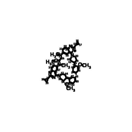 COc1ccccc1C1CCN(c2nc(C3CC3)nc3ccc(N(C)CC(OC)N(C)c4ccc5nc(C6CC6)nc(N6CCC(c7ccccc7OC)CC6)c5c4)cc23)CC1